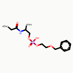 CCCCCCCCCCCC(=O)NC(CCCCCC)COP(=O)(O)OCCOCc1ccccc1